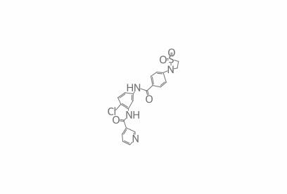 O=C(Nc1ccc(Cl)c(NC(=O)c2cccnc2)c1)c1ccc(N2CCS2(=O)=O)cc1